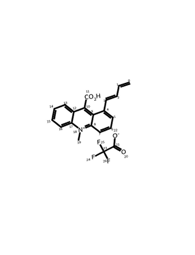 C=CC=Cc1cccc2c1c(C(=O)O)c1ccccc1[n+]2C.O=C([O-])C(F)(F)F